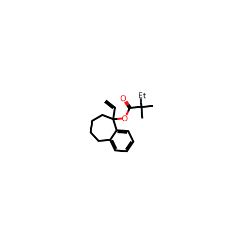 C=CC1(OC(=O)C(C)(C)CC)CCCCc2ccccc21